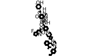 C=Cc1ccc(CN2CCN(C3CC4(CCN(c5ccc(C(=O)NS(=O)(=O)c6cc(OC)c(OC[C@H]7CC[C@](C)(O)CC7)c7[nH]cnc67)c(Oc6cc7c(nc6OC)CC=C7F)c5)CC4)C3)C(c3ccccc3C(C)C)C2)cc1